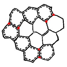 c1ccc2c(c1)CC1CCCCC1=C2B(c1c2ccccc2cc2ccccc12)c1c2ccccc2cc2ccccc12